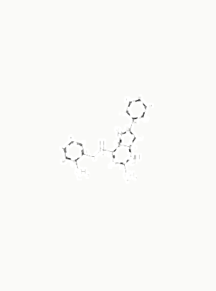 Cc1nc(NCc2ccccc2C)c2nc(-c3ccccc3)cc-2[nH]1